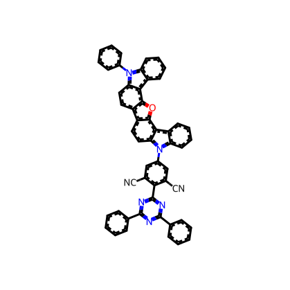 N#Cc1cc(-n2c3ccccc3c3c4oc5c(ccc6c5c5ccccc5n6-c5ccccc5)c4ccc32)cc(C#N)c1-c1nc(-c2ccccc2)nc(-c2ccccc2)n1